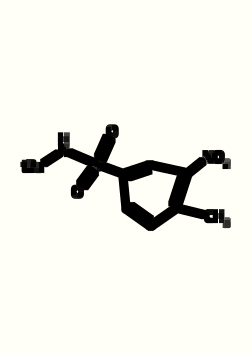 Cc1ccc(S(=O)(=O)NC(C)(C)C)cc1[N+](=O)[O-]